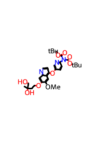 COc1cc2c(Oc3ccc(N(C(=O)OC(C)(C)C)C(=O)OC(C)(C)C)nc3)ccnc2cc1OCCC(C)(O)CO